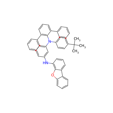 CC(C)(C)c1ccc(N(c2cccc(Nc3cccc4c3oc3ccccc34)c2)c2c(-c3ccccc3)cccc2-c2ccccc2)cc1